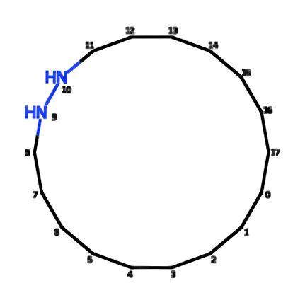 C1CCCCCCCCNNCCCCCCC1